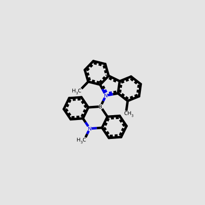 Cc1cccc2c3cccc(C)c3n(B3c4ccccc4N(C)c4ccccc43)c12